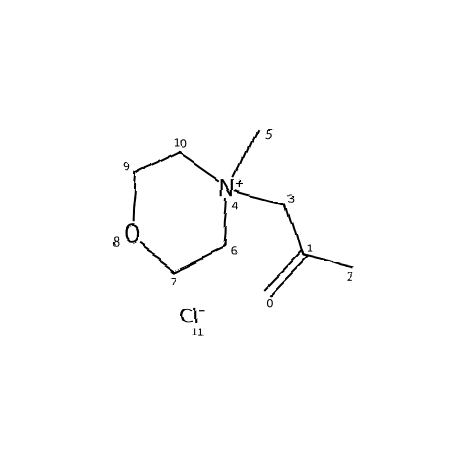 C=C(C)C[N+]1(C)CCOCC1.[Cl-]